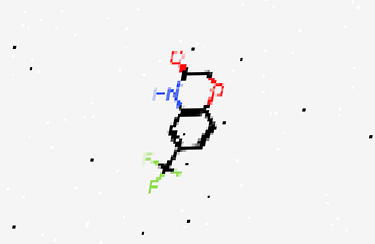 O=C1COc2ccc(C(F)(F)F)cc2N1